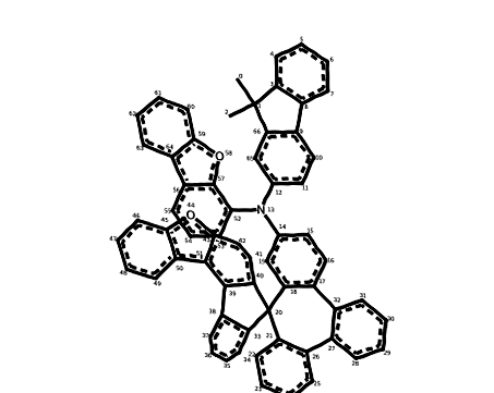 CC1(C)c2ccccc2-c2ccc(N(c3ccc4c(c3)C3(c5ccccc5-c5ccccc5-4)c4ccccc4-c4c3ccc3oc5ccccc5c43)c3cccc4c3oc3ccccc34)cc21